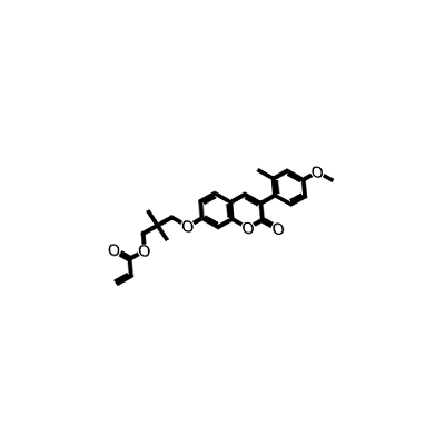 C=CC(=O)OCC(C)(C)COc1ccc2cc(-c3ccc(OC)cc3C)c(=O)oc2c1